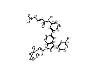 CCOP(=O)(OCC)OC(C)n1cc(-c2ccnc(F)c2)c2cc(-c3cncc(N(C)C(=O)C=CCN(C)C)c3)cnc21